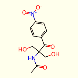 CC(=O)NC(CO)(CO)C(=O)c1ccc([N+](=O)[O-])cc1